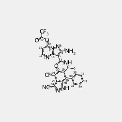 CC(NC(=O)c1c(N)nn2c(OC(=O)C(F)(F)F)ccnc12)c1cc(Cl)c2c(C#N)n[nH]c2c1-c1ccccc1